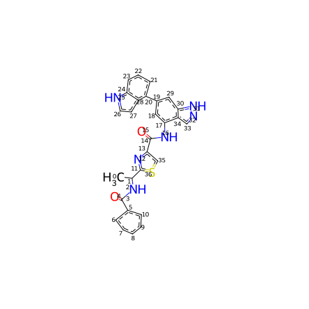 CC(NC(=O)c1ccccc1)c1nc(C(=O)Nc2cc(-c3cccc4[nH]ccc34)cc3[nH]ncc23)cs1